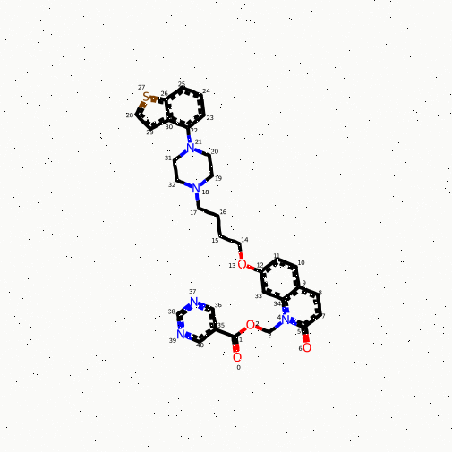 O=C(OCn1c(=O)ccc2ccc(OCCCCN3CCN(c4cccc5sccc45)CC3)cc21)c1cncnc1